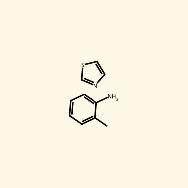 Cc1ccccc1N.c1cscn1